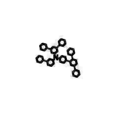 c1ccc(-c2cccc(N(c3ccc(-c4cc(-c5ccccc5)ccc4-c4ccccc4)cc3)c3cc(-c4ccccc4)cc(-c4ccccc4)c3)c2)cc1